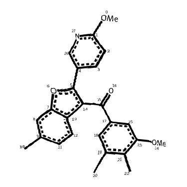 COc1ccc(-c2oc3cc(C)ccc3c2C(=O)c2cc(C)c(C)c(OC)c2)cn1